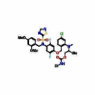 CCNC(=O)OCC(N(C)c1cc(Cl)ccc1COc1cc(F)c(N(Cc2ccc(OC)cc2OC)S(=O)(=O)c2ncns2)cc1F)C(C)(C)C